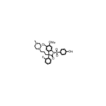 COc1cc2c(cc1Cl)C(CCCN1CCN(C)CC1)(c1ccccc1F)C(=O)N2S(=O)(=O)c1ccc(O)cc1